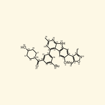 COc1cc2c(cc1-c1c(C)noc1C)[nH]c1nc(C)nc(-c3cc(C(=O)N4CCC(O)CC4)cc(C(C)(C)C)c3)c12